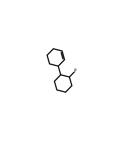 FC1CCCCC1C1C=CCCC1